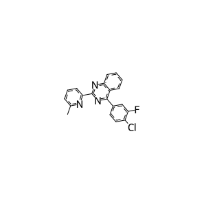 Cc1cccc(-c2nc(-c3ccc(Cl)c(F)c3)c3ccccc3n2)n1